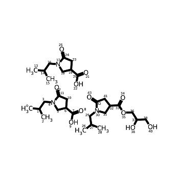 CC(C)CN1CC(C(=O)O)CC1=O.CC(C)CN1CC(C(=O)O)CC1=O.CC(C)CN1CC(C(=O)OCC(O)CO)CC1=O